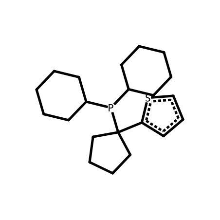 c1csc(C2(P(C3CCCCC3)C3CCCCC3)CCCC2)c1